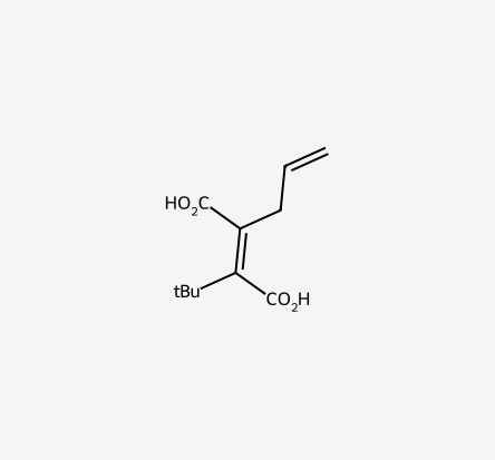 C=CC/C(C(=O)O)=C(\C(=O)O)C(C)(C)C